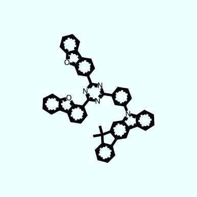 CC1(C)c2ccccc2-c2cc3c4ccccc4n(-c4cccc(-c5nc(-c6ccc7c(c6)oc6ccccc67)nc(-c6cccc7c6oc6ccccc67)n5)c4)c3cc21